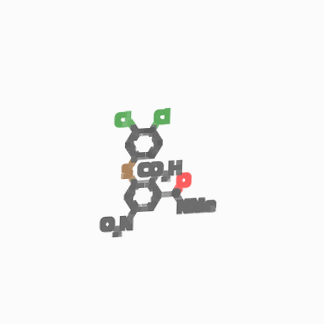 CNC(=O)c1cc([N+](=O)[O-])cc(Sc2ccc(Cl)c(Cl)c2)c1C(=O)O